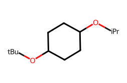 CC(C)OC1CCC(OC(C)(C)C)CC1